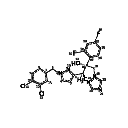 C[C@@H](c1ccn(Cc2ccc(Cl)c(Cl)c2)n1)[C@](O)(Cn1cncn1)c1ccc(F)cc1F